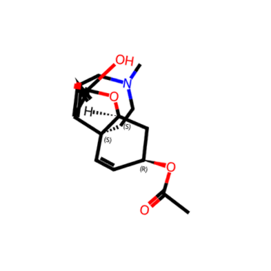 CC(=O)O[C@H]1C=C[C@@]23CCN(C)Cc4ccc(O)c(c42)O[C@H]3C1